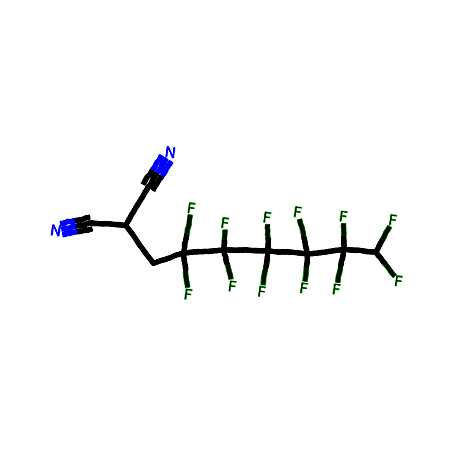 N#CC(C#N)CC(F)(F)C(F)(F)C(F)(F)C(F)(F)C(F)(F)C(F)F